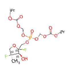 CC(C)OC(=O)OCOP(=O)(OCOC(=O)OC(C)C)OC[C@@]1(F)OC[C@](C)(F)[C@@H]1O